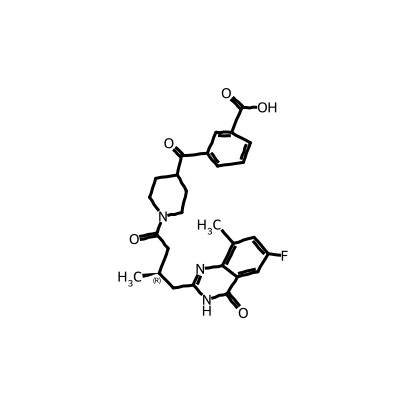 Cc1cc(F)cc2c(=O)[nH]c(C[C@@H](C)CC(=O)N3CCC(C(=O)c4cccc(C(=O)O)c4)CC3)nc12